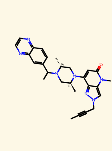 CC#CCn1cc2c(n1)c(N1C[C@@H](C)N(C(C)c3ccc4nccnc4c3)C[C@@H]1C)cc(=O)n2C